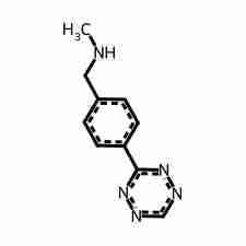 CNCc1ccc(-c2nncnn2)cc1